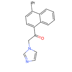 CC(C)c1ccc(C(=O)Cn2ccnc2)c2ccccc12